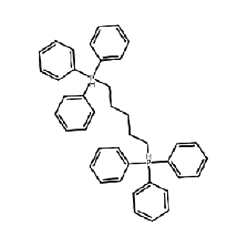 c1ccc([PH](CCCCC[PH](c2ccccc2)(c2ccccc2)c2ccccc2)(c2ccccc2)c2ccccc2)cc1